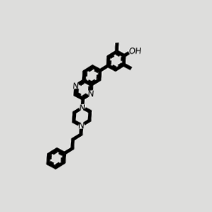 Cc1cc(-c2ccc3ncc(N4CCN(CCCc5ccccc5)CC4)nc3c2)cc(C)c1O